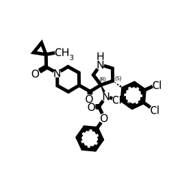 CN(C(=O)Oc1ccccc1)[C@@]1(C(=O)C2CCN(C(=O)C3(C)CC3)CC2)CNC[C@@H]1c1ccc(Cl)c(Cl)c1